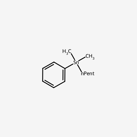 CCCC[CH2][Sn]([CH3])([CH3])[c]1ccccc1